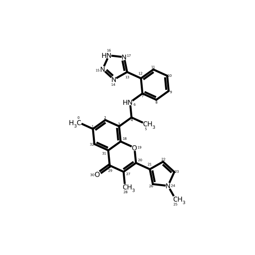 Cc1cc(C(C)Nc2ccccc2-c2nn[nH]n2)c2oc(-c3ccn(C)c3)c(C)c(=O)c2c1